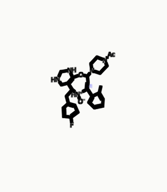 CC(=O)N1CCN(C2/C=C(/c3ccccc3C)[NH+]([O-])C(Cc3ccc(F)cc3)C3=C(NCNC3)O2)CC1